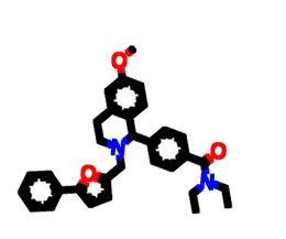 CCN(CC)C(=O)c1ccc(C2c3ccc(OC)cc3CCN2Cc2ccc(-c3ccccc3)o2)cc1